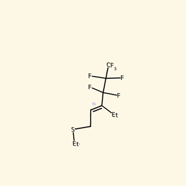 C[CH]SC/C=C(\CC)C(F)(F)C(F)(F)C(F)(F)F